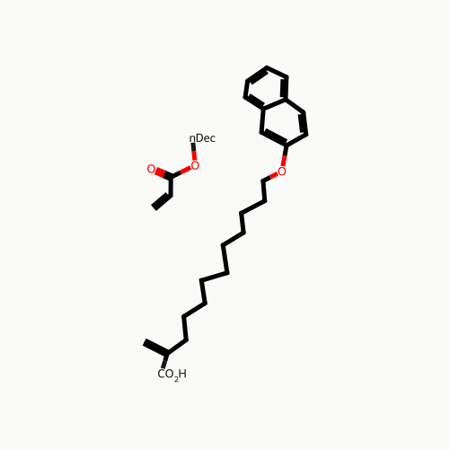 C=C(CCCCCCCCCCOc1ccc2ccccc2c1)C(=O)O.C=CC(=O)OCCCCCCCCCC